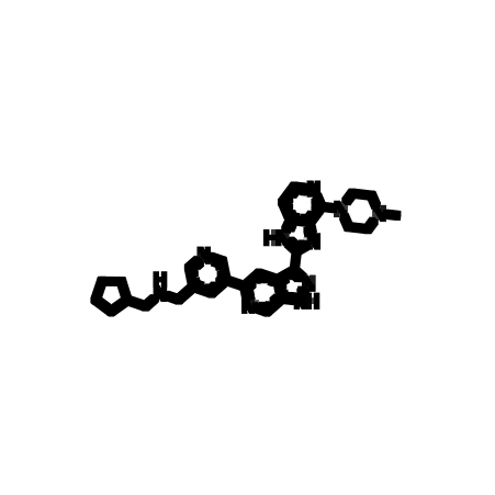 CN1CCN(c2nccc3[nH]c(-c4n[nH]c5cnc(-c6cncc(CNCC7CCCC7)c6)cc45)nc23)CC1